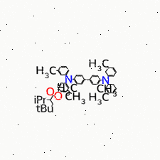 CC1=CC(N(C2=CC=CC(C)C2)c2ccc(-c3ccc(N(c4cccc(C)c4)c4ccc(OC(=O)C(CC(C)(C)C)C(C)C)c(C)c4)c(C)c3)cc2C)CC=C1